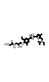 CCc1cc(-c2noc(-c3cc(C)c(CN(CC)C(C)C)s3)n2)cc(C)c1OCC(O)CNC(=O)CO